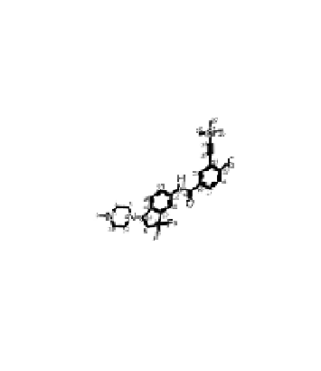 CN1CCN([C@H]2CC(F)(F)c3cc(NC(=O)c4ccc(F)c(C#C[Si](C)(C)C)c4)ccc32)CC1